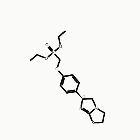 CCOP(=O)(COc1ccc([C@H]2CN3CCSC3=N2)cc1)OCC